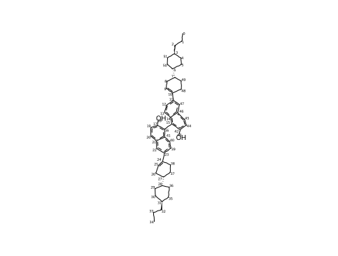 CCC[C@H]1CC[C@H](C2CC=C(c3ccc4c(-c5c(O)ccc6cc(C7=CCC([C@H]8CC[C@H](CCC)CC8)CC7)ccc56)c(O)ccc4c3)CC2)CC1